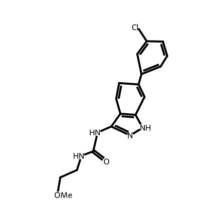 COCCNC(=O)Nc1n[nH]c2cc(-c3cccc(Cl)c3)ccc12